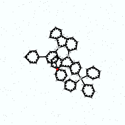 c1ccc(-c2cc(-c3ccccc3)cc(-n3c4ccccc4c4cccc(-n5c6ccccc6c6cc([Si](c7ccccc7)(c7ccccc7)c7ccccc7)ccc65)c43)c2)cc1